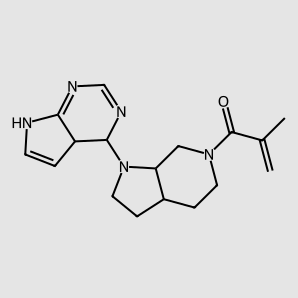 C=C(C)C(=O)N1CCC2CCN(C3N=CN=C4NC=CC43)C2C1